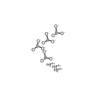 [Hf+4].[Hf+4].[Hf+4].[O-]B([O-])[O-].[O-]B([O-])[O-].[O-]B([O-])[O-].[O-]B([O-])[O-]